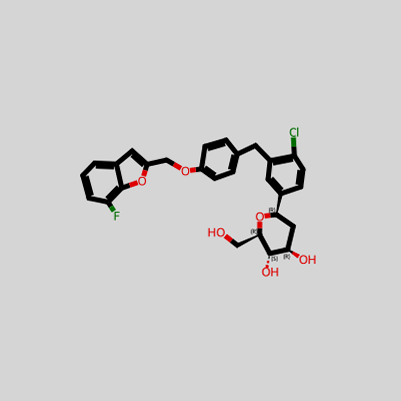 OC[C@H]1O[C@@H](c2ccc(Cl)c(Cc3ccc(OCc4cc5cccc(F)c5o4)cc3)c2)C[C@@H](O)[C@@H]1O